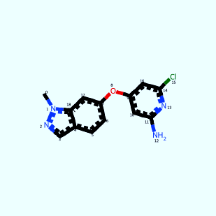 Cn1ncc2ccc(Oc3cc(N)nc(Cl)c3)cc21